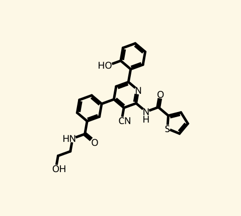 N#Cc1c(-c2cccc(C(=O)NCCO)c2)cc(-c2ccccc2O)nc1NC(=O)c1cccs1